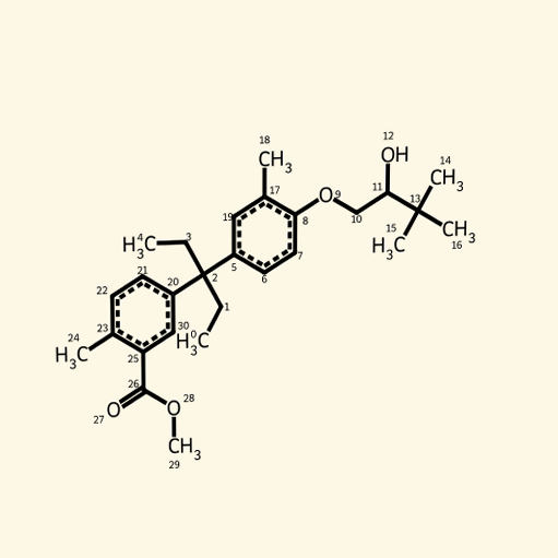 CCC(CC)(c1ccc(OCC(O)C(C)(C)C)c(C)c1)c1ccc(C)c(C(=O)OC)c1